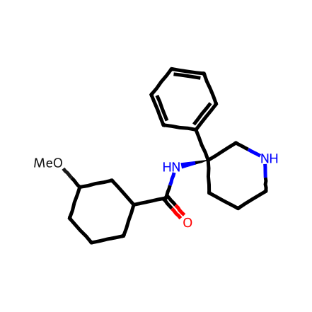 COC1CCCC(C(=O)N[C@]2(c3ccccc3)CCCNC2)C1